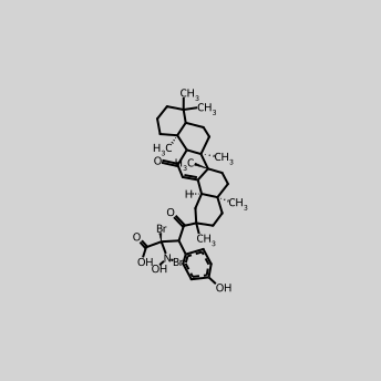 CC1(C(=O)C(c2ccc(O)cc2)[C@@](Br)(C(=O)O)N(O)Br)CC[C@]2(C)CC[C@]3(C)C(=CC(=O)C4[C@@]5(C)CCCC(C)(C)C5CC[C@]43C)[C@@H]2C1